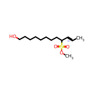 C/C=C/C(CCCCCCCCO)S(=O)(=O)OC